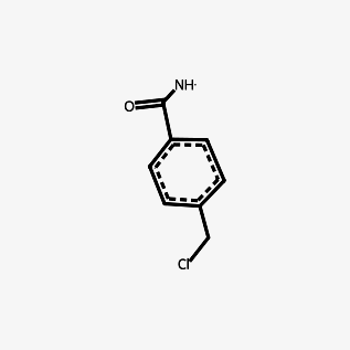 [NH]C(=O)c1ccc(CCl)cc1